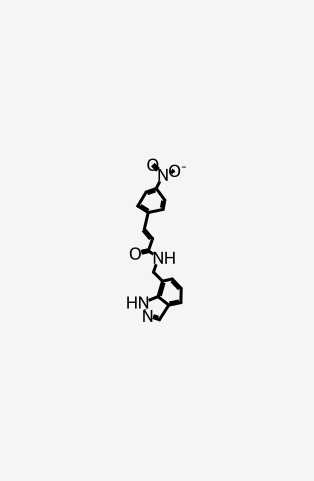 O=C(C=Cc1ccc([N+](=O)[O-])cc1)NCc1cccc2cn[nH]c12